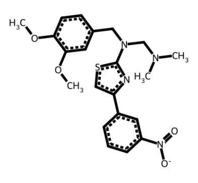 COc1ccc(CN(CN(C)C)c2nc(-c3cccc([N+](=O)[O-])c3)cs2)cc1OC